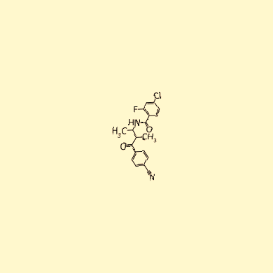 CC(NC(=O)c1ccc(Cl)cc1F)C(C)C(=O)c1ccc(C#N)cc1